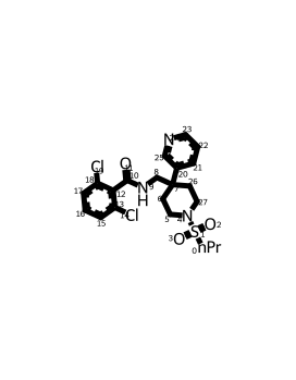 CCCS(=O)(=O)N1CCC(CNC(=O)c2c(Cl)cccc2Cl)(c2cccnc2)CC1